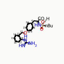 CCCCS(=O)(=O)N[C@@H](Cc1ccc(OCc2ccccc2NC(=N)N)cc1)C(=O)O